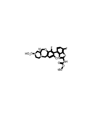 CC(C)(C)OC(=O)Nc1nc2c(-c3c(Cl)cc4c(c3F)OC[C@@H]3CN(C(=O)O)CCN3C4)ccc(F)c2s1